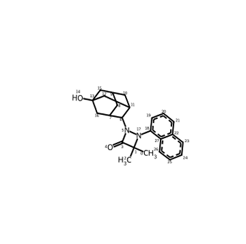 CC1(C)C(=O)N(C2C3CC4CC2CC(O)(C4)C3)N1c1cccc2ccccc12